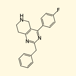 Fc1ccc(-c2nc(Cc3ccccc3)nc3c2CNCC3)cc1